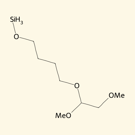 COCC(OC)OCCCCO[SiH3]